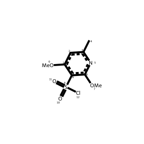 COc1cc(C)nc(OC)c1S(=O)(=O)Cl